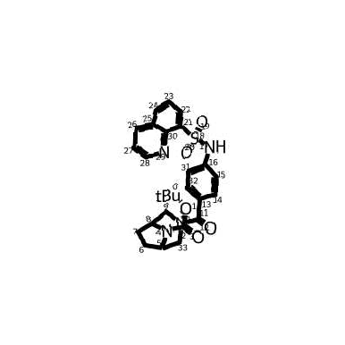 CC(C)(C)OC(=O)N1C2CCC1CN(C(=O)c1ccc(NS(=O)(=O)c3cccc4cccnc34)cc1)C2